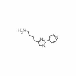 NCCCCc1cnn(-c2ccncc2)n1